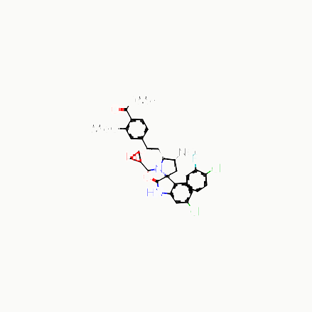 COC(=O)c1ccc([C@@H](O)C[C@H]2[C@@H]([N+](=O)[O-])[C@H](c3cccc(Cl)c3F)[C@]3(C(=O)Nc4cc(Cl)ccc43)N2CC2CC2)cc1OC